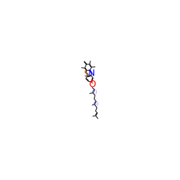 C=c1c(C)c(C)c2c(c1C)Sc1ccc(OC/C=C(\C)CC/C=C(\C)CCC=C(C)C)cc1N=2